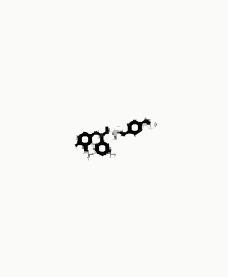 C/C(=N\OCc1ccc(C=O)cc1)C(Cc1ccc(C)c(C)c1)c1cc(F)cc(F)c1